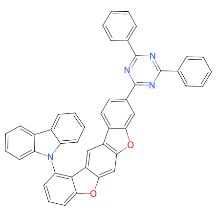 c1ccc(-c2nc(-c3ccccc3)nc(-c3ccc4c(c3)oc3cc5oc6cccc(-n7c8ccccc8c8ccccc87)c6c5cc34)n2)cc1